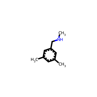 CNCc1cc(C)cc(C)c1